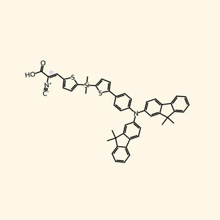 [C-]#[N+]/C(=C\c1ccc([Si](C)(C)c2ccc(-c3ccc(N(c4ccc5c(c4)C(C)(C)c4ccccc4-5)c4ccc5c(c4)C(C)(C)c4ccccc4-5)cc3)s2)s1)C(=O)O